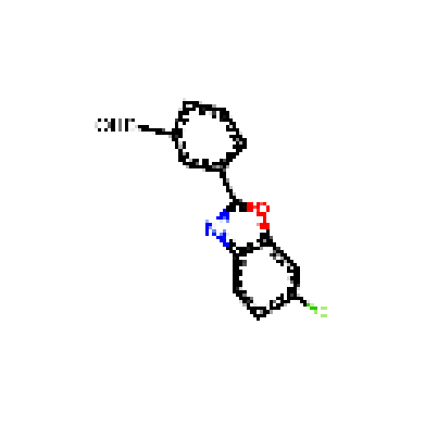 O=Cc1cccc(-c2nc3ccc(F)cc3o2)c1